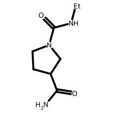 CCNC(=O)N1CCC(C(N)=O)C1